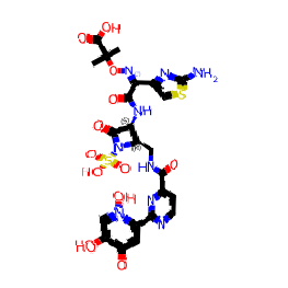 CC(C)(O/N=C(\C(=O)N[C@@H]1C(=O)N(S(=O)(=O)O)[C@@H]1CNC(=O)c1ccnc(-c2cc(=O)c(O)cn2O)n1)c1csc(N)n1)C(=O)O